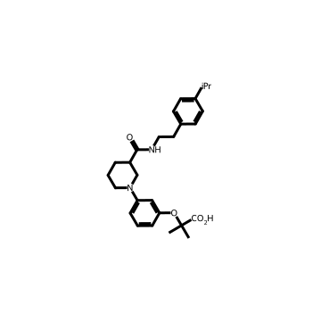 CC(C)c1ccc(CCNC(=O)C2CCCN(c3cccc(OC(C)(C)C(=O)O)c3)C2)cc1